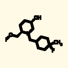 CC1(F)CCC(CN2C[C@H](O)CC[C@@H]2COI)CC1